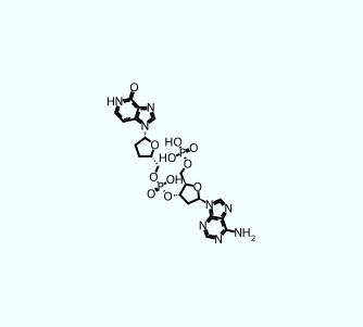 Nc1ncnc2c1ncn2[C@H]1C[C@H](OP(=O)(O)OC[C@@H]2CC[C@H](n3cnc4c(=O)[nH]ccc43)O2)[C@@H](COP(=O)(O)O)O1